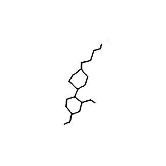 CCCCCC1CCC(C2CCC(CO)CC2CC)CC1